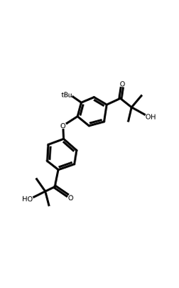 CC(C)(O)C(=O)c1ccc(Oc2ccc(C(=O)C(C)(C)O)cc2C(C)(C)C)cc1